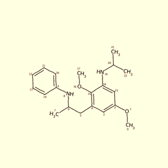 COc1cc(CC(C)Nc2ccccc2)c(OC)c(NC(C)C)c1